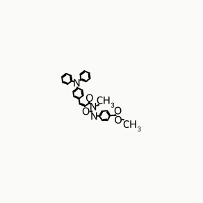 CCOC(=O)c1ccc(N=C2O/C(=C/c3ccc(N(c4ccccc4)c4ccccc4)cc3)C(=O)N2CC)cc1